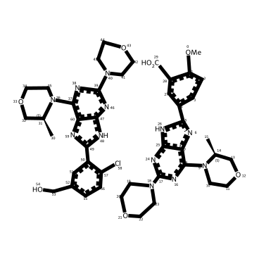 COc1ccc(-c2nc3c(N4CCOC[C@@H]4C)nc(N4CCOCC4)nc3[nH]2)cc1C(=O)O.C[C@H]1COCCN1c1nc(N2CCOCC2)nc2[nH]c(-c3cc(CO)ccc3Cl)nc12